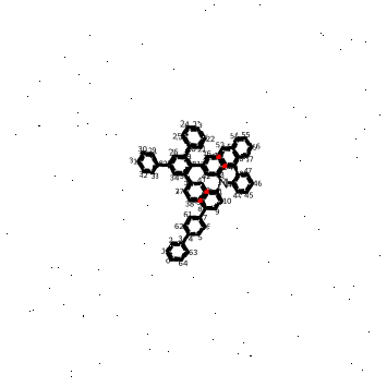 c1ccc(-c2ccc(-c3ccc(N(c4cccc(-c5c(-c6ccccc6)cc(-c6ccccc6)cc5-c5ccccc5)c4)c4ccccc4-c4cccc5ccccc45)cc3)cc2)cc1